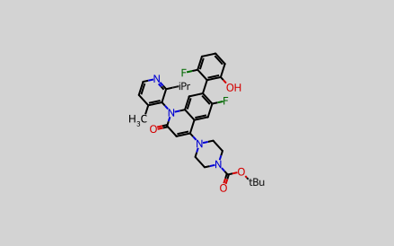 Cc1ccnc(C(C)C)c1-n1c(=O)cc(N2CCN(C(=O)OC(C)(C)C)CC2)c2cc(F)c(-c3c(O)cccc3F)cc21